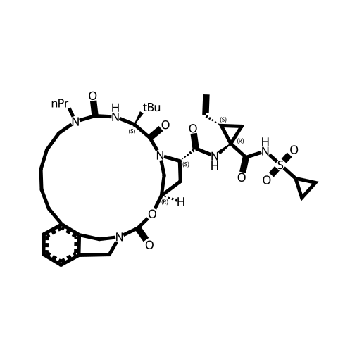 C=C[C@@H]1C[C@]1(NC(=O)[C@@H]1C[C@@H]2CN1C(=O)[C@H](C(C)(C)C)NC(=O)N(CCC)CCCCCc1cccc3c1CN(C3)C(=O)O2)C(=O)NS(=O)(=O)C1CC1